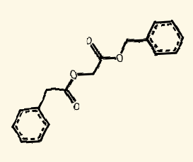 O=C(COC(=O)Cc1ccccc1)OCc1ccccc1